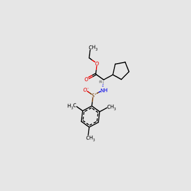 CCOC(=O)[C@@H](N[S+]([O-])c1c(C)cc(C)cc1C)C1CCCC1